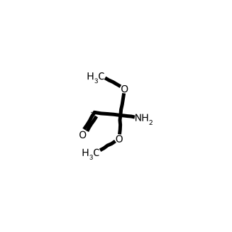 COC(N)([C]=O)OC